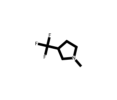 CN1CCC(C(F)(F)F)C1